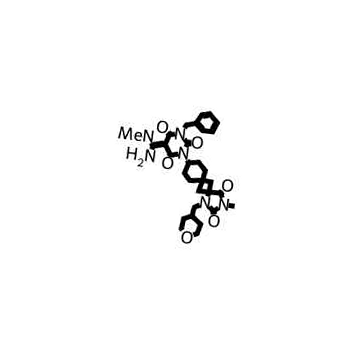 CN/C(N)=C1\C(=O)N(Cc2ccccc2)C(=O)N(C2CCC3(CC2)CC2(C3)C(=O)N(C)C(=O)N2CC2CCOCC2)C1=O